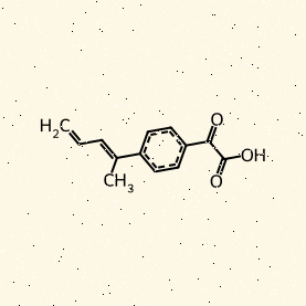 C=C/C=C(\C)c1ccc(C(=O)C(=O)O)cc1